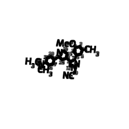 COc1cc(C)cc(-c2nn(CC#N)cc2-c2ccnc(-c3ccc(N(C)C)cc3)c2)c1